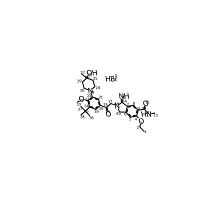 Br.CCOc1cc2c(cc1C(=O)NC)C(=N)N(CC(=O)c1cc(N3CCC(C)(O)CC3)c(OC)c(C(C)(C)C)c1)C2